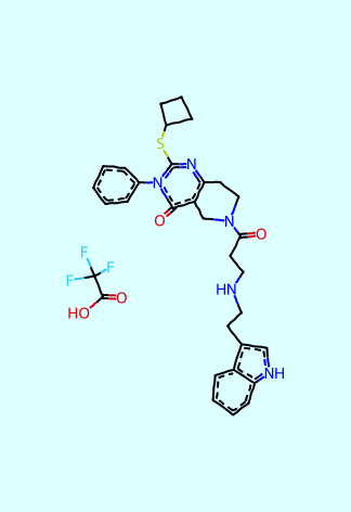 O=C(CCNCCc1c[nH]c2ccccc12)N1CCc2nc(SC3CCC3)n(-c3ccccc3)c(=O)c2C1.O=C(O)C(F)(F)F